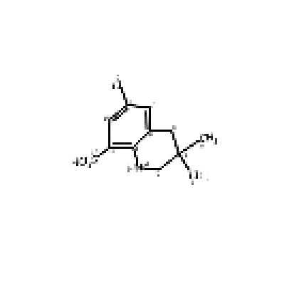 CC1(C)CNc2c(cc(Cl)cc2S(=O)(=O)O)C1